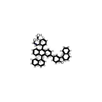 C=C[C@H]1C=CC=C(c2c3ccccc3c(-c3cccc4ccccc34)c3cc(-c4ccc5oc6ccc7ccccc7c6c5c4)ccc23)C1/C=C\C